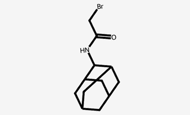 O=C(CBr)NC1C2CC3CC(C2)CC1C3